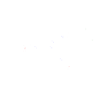 O=C(Cn1nc(NS(=O)(=O)c2ccc(Br)c(Br)c2)cc1C(=O)N[C@H]1CCCC[C@@H]1OCc1ccccc1)N[C@H]1CCCC[C@@H]1OCc1ccccc1